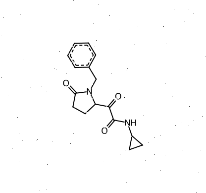 O=C(NC1CC1)C(=O)C1CCC(=O)N1Cc1ccccc1